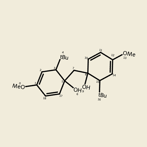 COC1=CC(C(C)(C)C)C(O)(CC2(O)C=CC(OC)=CC2C(C)(C)C)C=C1